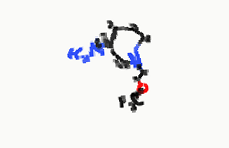 NC1CCCN(CCOC(F)(F)F)C1